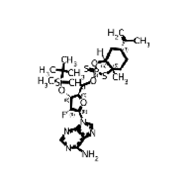 C=C(C)[C@@H]1CC[C@]2(C)S[P@@](=S)(OC[C@H]3O[C@@H](n4cnc5c(N)ncnc54)[C@H](F)[C@@H]3O[Si](C)(C)C(C)(C)C)O[C@H]2C1